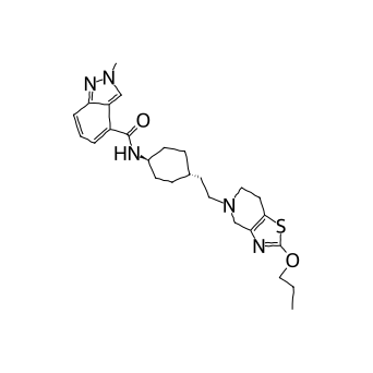 CCCOc1nc2c(s1)CCN(CC[C@H]1CC[C@H](NC(=O)c3cccc4nn(C)cc34)CC1)C2